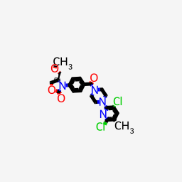 COC[C@@H]1COC(=O)N1c1ccc(C(=O)N2CCN(c3nc(Cl)c(C)cc3Cl)CC2)cc1